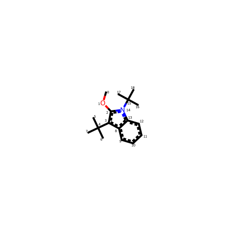 COc1c(C(C)(C)C)c2ccccc2n1C(C)(C)C